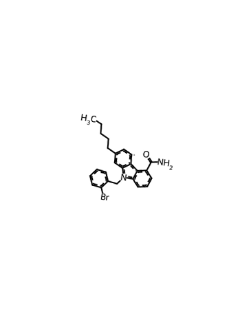 CCCCCc1c[c]c2c3c(C(N)=O)cccc3n(Cc3ccccc3Br)c2c1